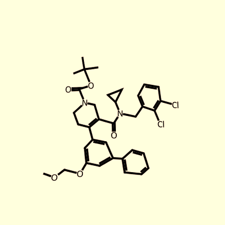 COCOc1cc(C2=C(C(=O)N(Cc3cccc(Cl)c3Cl)C3CC3)CN(C(=O)OC(C)(C)C)CC2)cc(-c2ccccc2)c1